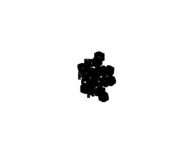 Cc1cccc(C(F)(F)F)c1-c1cc(B(c2ccc3ccccc3c2)c2ccc3ccccc3c2)c2ccc3c(B(c4ccc5ccccc5c4)c4ccc5ccccc5c4)cc(-c4c(C(F)(F)F)cccc4C(F)(F)F)c4ccc1c2c34